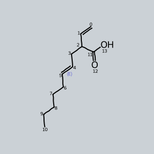 C=CC(C/C=C/CCCCC)C(=O)O